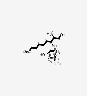 CCCCCCCCCCCCCCC[C@@H](O)[C@@H](N)CO.CN(C)C.NCC(=O)O